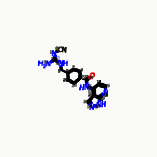 N#C/N=C(/N)NC[C@H]1CC[C@H](C(=O)Nc2ccnc3[nH]ncc23)CC1